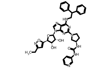 CCc1cc([C@H]2O[C@@H](n3cnc4c(NCC(c5ccccc5)c5ccccc5)nc(N5CC[C@@H](NC(=O)Nc6cccnc6)C5)nc43)[C@H](O)[C@@H]2O)on1